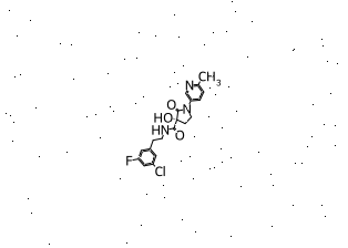 Cc1ccc(N2CC[C@@](O)(C(=O)NCCc3cc(F)cc(Cl)c3)C2=O)cn1